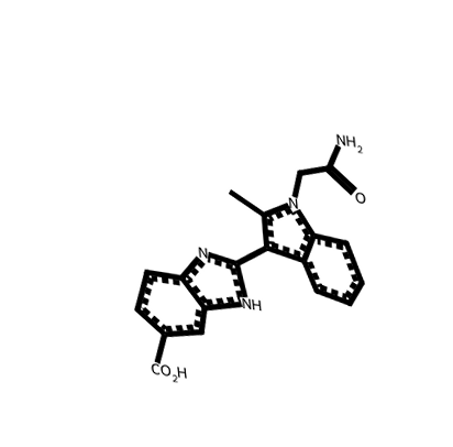 Cc1c(-c2nc3ccc(C(=O)O)cc3[nH]2)c2ccccc2n1CC(N)=O